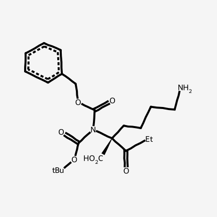 CCC(=O)[C@](CCCCN)(C(=O)O)N(C(=O)OCc1ccccc1)C(=O)OC(C)(C)C